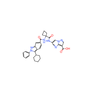 O=C(NC1(C(=O)Nc2cnc3c(C(=O)O)cnn3c2)CCC1)c1ccc2c(C3CCCCC3)n(-c3ccccc3)nc2c1